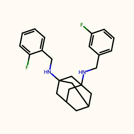 Fc1cccc(CNC23CC4CC(C2)CC(NCc2ccccc2F)(C4)C3)c1